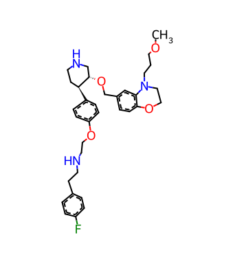 COCCCN1CCOc2ccc(CO[C@H]3CNCC[C@@H]3c3ccc(OCCNCCc4ccc(F)cc4)cc3)cc21